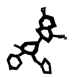 Cc1cc(-c2cc(N)c3ccc(Cl)cc3n2)cc(CN2CCCC2)c1N1CCOCC1